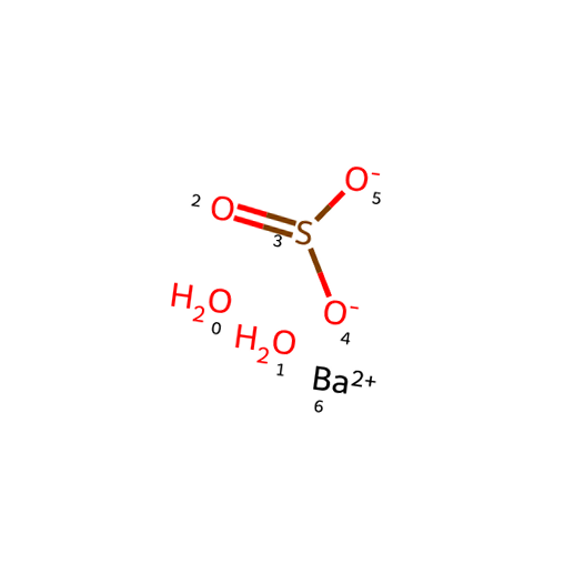 O.O.O=S([O-])[O-].[Ba+2]